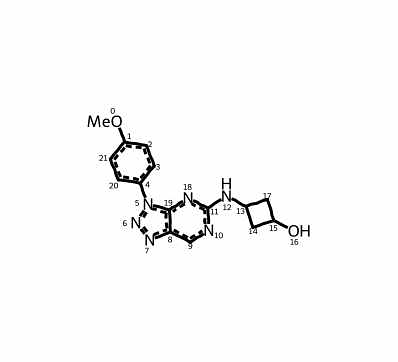 COc1ccc(-n2nnc3cnc(NC4CC(O)C4)nc32)cc1